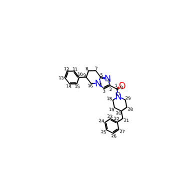 O=C(c1cn2c(n1)CCC(c1ccccc1)C2)N1CCC(Cc2ccccc2)CC1